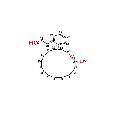 O=C1CCCCCCCCCCCCCCO1.OCCc1ccccc1